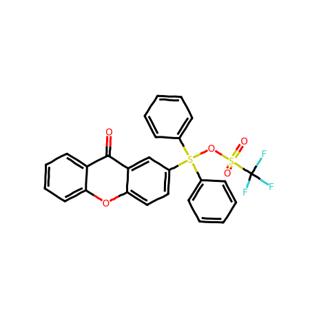 O=c1c2ccccc2oc2ccc(S(OS(=O)(=O)C(F)(F)F)(c3ccccc3)c3ccccc3)cc12